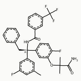 Cc1cc(F)cc([C@](Cc2ccccc2)(NC(=O)c2cccc(C(F)(F)F)c2)c2ccc(F)c(OC(C)(C)C(N)=O)c2)c1